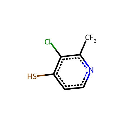 FC(F)(F)c1nccc(S)c1Cl